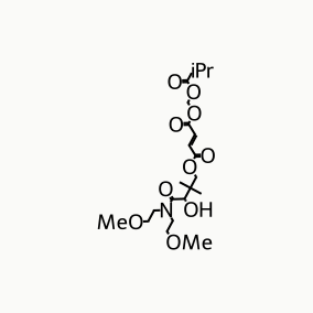 COCCN(CCOC)C(=O)[C@H](O)C(C)(C)COC(=O)/C=C/C(=O)OCOC(=O)C(C)C